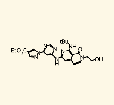 CCOC(=O)c1cnn(-c2cc(Nc3cc4ccn(CCO)c(=O)c4c(NC(C)(C)C)n3)ncn2)c1